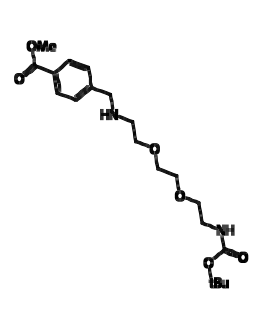 COC(=O)c1ccc(CNCCOCCOCCNC(=O)OC(C)(C)C)cc1